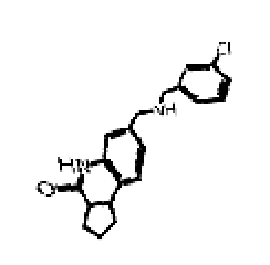 O=C1Nc2cc(CNCc3cccc(Cl)c3)ccc2C2CCCC12